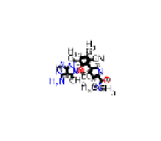 CCOc1c([C@@H](C)n2nc(C)c3c(N)ncnc32)cc(C)c(C#N)c1-c1ccc(C(=O)N(C)C)nc1